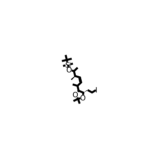 CC(/C=C\[C@@H](C)C(C)O[Si](C)(C)C(C)(C)C)C1OC(C)(C)O[C@H]1CCI